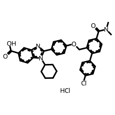 CN(C)C(=O)c1ccc(-c2ccc(Cl)cc2)c(COc2ccc(-c3nc4cc(C(=O)O)ccc4n3C3CCCCC3)cc2)c1.Cl